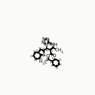 CC1=C(C(=O)O[C@@H](C)c2ccccc2)C(c2cc3ccccc3s2)n2nnnc2N1